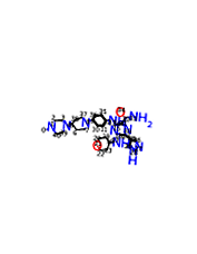 CN1CCN(C2CCN(c3ccc(Nc4nc(NC5CCOCC5)c(-c5cn[nH]c5)nc4C(N)=O)cc3)CC2)CC1